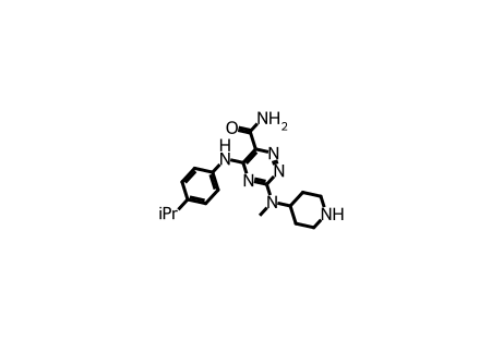 CC(C)c1ccc(Nc2nc(N(C)C3CCNCC3)nnc2C(N)=O)cc1